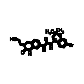 CC1(C)C[C@@H](NC(=O)Nc2ccc3c(c2)NC(=O)N(CCO)C3)c2ccc(Br)cc2O1